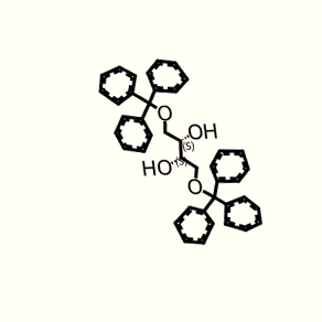 O[C@@H](COC(c1ccccc1)(c1ccccc1)c1ccccc1)[C@@H](O)COC(c1ccccc1)(c1ccccc1)c1ccccc1